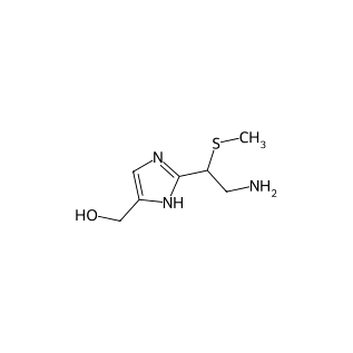 CSC(CN)c1ncc(CO)[nH]1